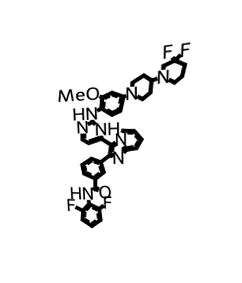 COc1cc(N2CCC(N3CCCC(F)(F)C3)CC2)ccc1NC1N=CC=C(c2c(-c3cccc(C(=O)Nc4c(F)cccc4F)c3)nc3ccccn23)N1